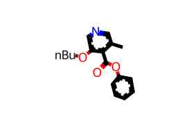 CCCCOc1cncc(C)c1C(=O)Oc1ccccc1